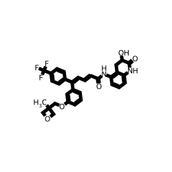 CC1(COc2cccc(C(=CC=CC(=O)Nc3cccc4c3CC(O)C(=O)N4)c3ccc(C(F)(F)F)cc3)c2)COC1